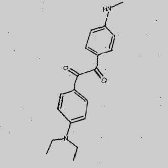 CCN(CC)c1ccc(C(=O)C(=O)c2ccc(NC)cc2)cc1